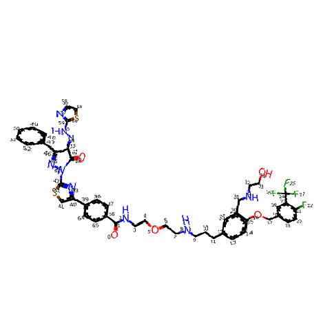 O=C(NCCOCCNCCCc1ccc(OCc2ccc(F)c(C(F)(F)F)c2)c(CNCCO)c1)c1ccc(-c2csc(N3N=C(c4ccccc4)/C(=N\Nc4nccs4)C3=O)n2)cc1